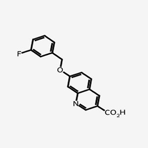 O=C(O)c1cnc2cc(OCc3cccc(F)c3)ccc2c1